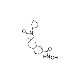 O=C(NO)c1ccc2c(c1)C[C@]1(CC2)CC(=O)N(C2CCCC2)C1